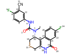 CN(C(=O)Nc1ccc(F)c(C#N)c1)[C@H]1CSCc2[nH]c(=O)c3cc(F)ccc3c21